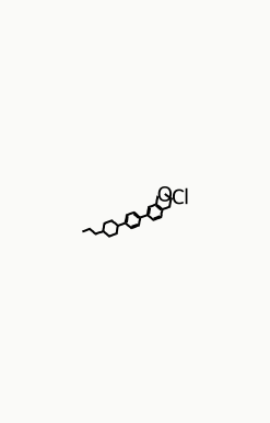 CCCC1CCC(c2ccc(-c3ccc4c(c3)COC(Cl)C4)cc2)CC1